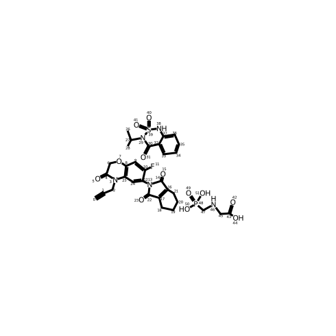 C#CCN1C(=O)COc2cc(F)c(N3C(=O)C4=C(CCCC4)C3=O)cc21.CC(C)N1C(=O)c2ccccc2NS1(=O)=O.O=C(O)CNCP(=O)(O)O